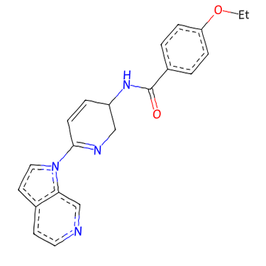 CCOc1ccc(C(=O)NC2C=CC(n3ccc4ccncc43)=NC2)cc1